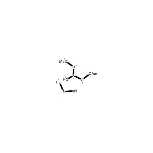 CCCSS.COOP(O)OOC